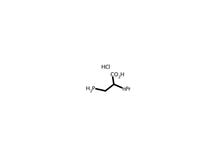 CCCC(CP)C(=O)O.Cl